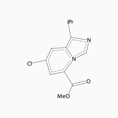 COC(=O)c1cc(Cl)cc2c(C(C)C)ncn12